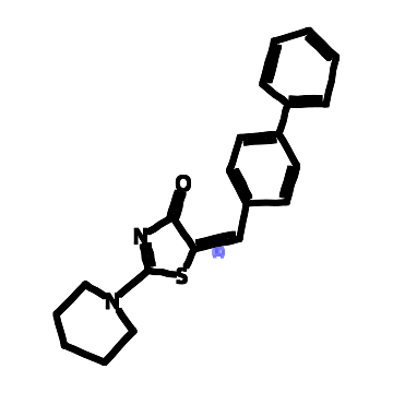 O=C1N=C(N2CCCCC2)S/C1=C/c1ccc(-c2ccccc2)cc1